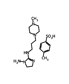 CN1CCN(CCCNC2=NCCN2N)CC1.Cc1ccc(S(=O)(=O)O)cc1